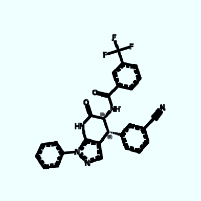 N#Cc1cccc([C@@H]2c3cnn(-c4ccccc4)c3NC(=O)[C@H]2NC(=O)c2cccc(C(F)(F)F)c2)c1